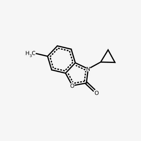 Cc1ccc2c(c1)oc(=O)n2C1CC1